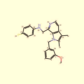 COc1cccc(Cn2c(C)c(C)c3ccnc(CNc4ccc(F)cc4)c32)c1